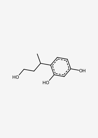 CC(CCO)c1ccc(O)cc1O